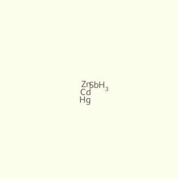 [Cd].[Hg].[SbH3].[Zn]